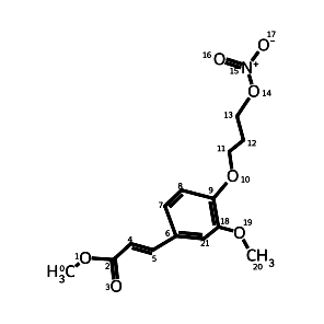 COC(=O)C=Cc1ccc(OCCCO[N+](=O)[O-])c(OC)c1